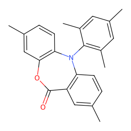 Cc1cc(C)c(N2c3ccc(C)cc3OC(=O)c3cc(C)ccc32)c(C)c1